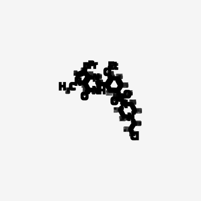 CCCc1cn(C)c2c(=O)[nH]c(-c3cc(S(=O)(=O)N4CCN(CCCl)CC4)ccc3OCC)nc12